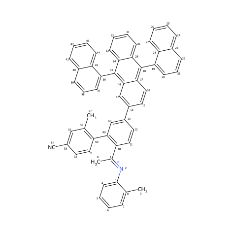 C/C(=N\c1ccccc1C)c1ccc(-c2ccc3c(-c4cccc5ccccc45)c4ccccc4c(-c4cccc5ccccc45)c3c2)cc1-c1ccc(C#N)cc1C